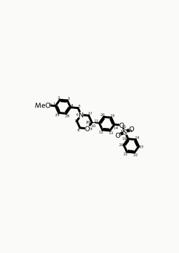 COc1ccc(CN2CCO[C@H](c3ccc(OS(=O)(=O)c4ccccc4)cc3)C2)cc1